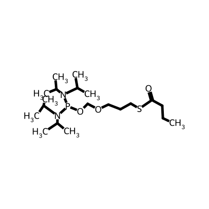 CCCC(=O)SCCCOCOP(N(C(C)C)C(C)C)N(C(C)C)C(C)C